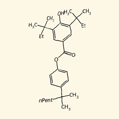 CCCCCC(C)(C)c1ccc(OC(=O)c2cc(C(C)(C)CC)c(O)c(C(C)(C)CC)c2)cc1